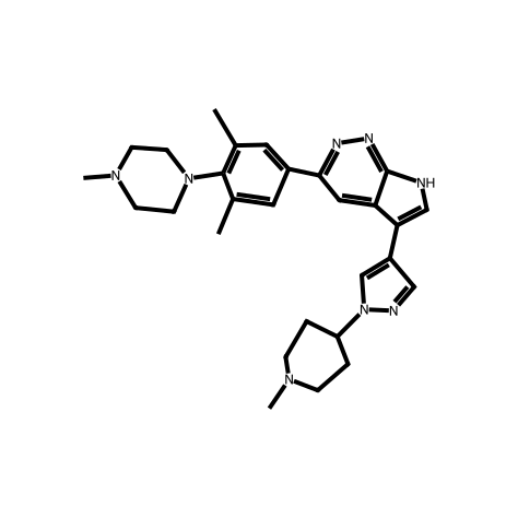 Cc1cc(-c2cc3c(-c4cnn(C5CCN(C)CC5)c4)c[nH]c3nn2)cc(C)c1N1CCN(C)CC1